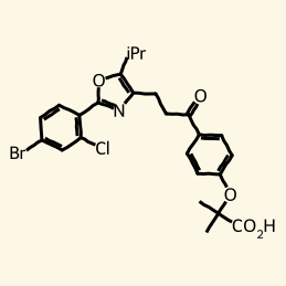 CC(C)c1oc(-c2ccc(Br)cc2Cl)nc1CCC(=O)c1ccc(OC(C)(C)C(=O)O)cc1